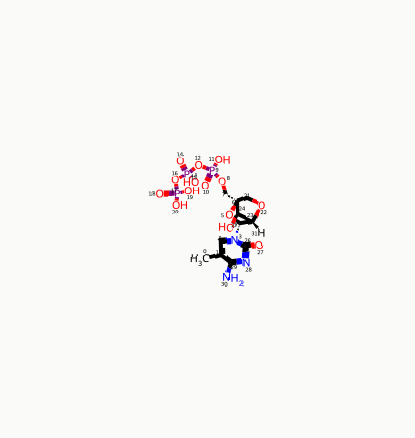 Cc1cn([C@@H]2O[C@@]3(COP(=O)(O)OP(=O)(O)OP(=O)(O)O)CO[C@H]2C3O)c(=O)nc1N